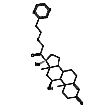 CC12CCC(=O)C=C1CCC1C2[C@@H](O)CC2(C)C1CC[C@]2(O)C(=O)CSCCc1cnccn1